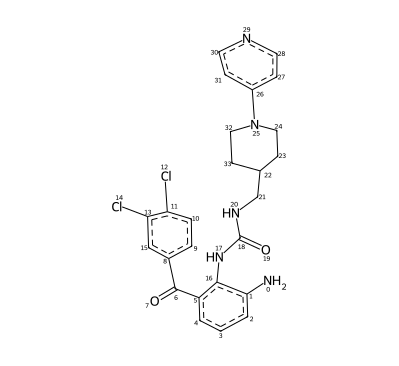 Nc1cccc(C(=O)c2ccc(Cl)c(Cl)c2)c1NC(=O)NCC1CCN(c2ccncc2)CC1